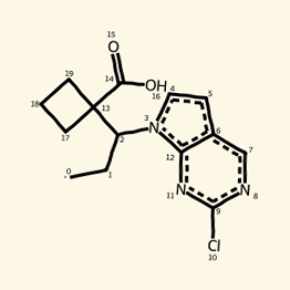 [CH2]CC(n1ccc2cnc(Cl)nc21)C1(C(=O)O)CCC1